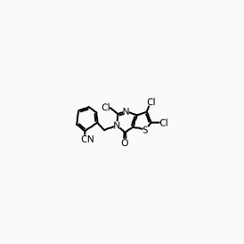 N#Cc1ccccc1Cn1c(Cl)nc2c(Cl)c(Cl)sc2c1=O